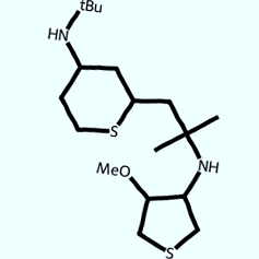 COC1CSCC1NC(C)(C)CC1CC(NC(C)(C)C)CCS1